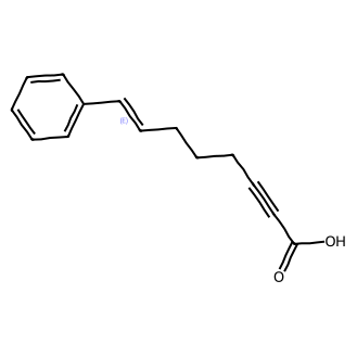 O=C(O)C#CCCC/C=C/c1ccccc1